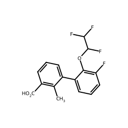 Cc1c(C(=O)O)cccc1-c1cccc(F)c1OC(F)C(F)F